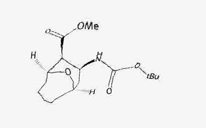 COC(=O)[C@H]1[C@@H](NC(=O)OC(C)(C)C)[C@H]2CC[C@@H]1O2